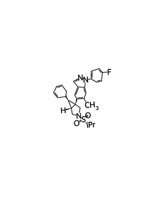 Cc1cc2c(cnn2-c2ccc(F)cc2)cc1[C@@]12CN(S(=O)(=O)C(C)C)C[C@@H]1[C@H]2C1C=CC=CC1